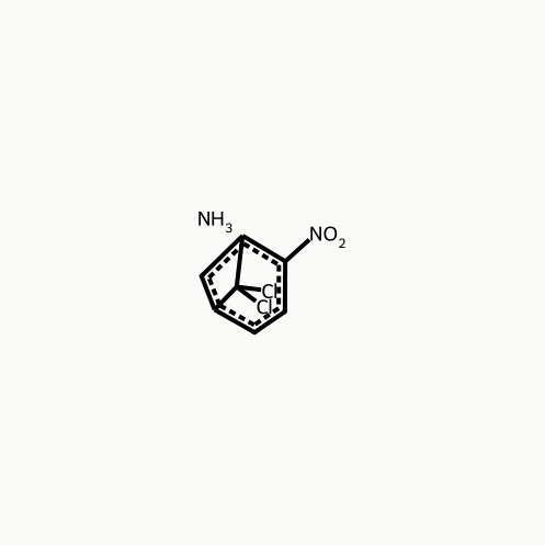 N.O=[N+]([O-])c1ccc2cc1C2(Cl)Cl